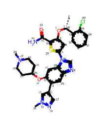 C[C@@H](Oc1cc(-n2cnc3cc(-c4cnn(C)c4)c(OC4CCN(C)CC4)cc32)sc1C(N)=O)c1ccccc1Cl